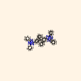 c1ccc(-c2nc(-c3ccccc3)nc(-c3ccc4c(c3)-c3ccccc3C43c4ccccc4-c4cc(-c5nc(-c6ccccc6)nc(-c6ccccc6)n5)ccc43)n2)cc1